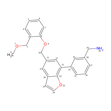 COCc1ccccc1OCc1cc(-c2cccc(CN)c2)c2occc2c1